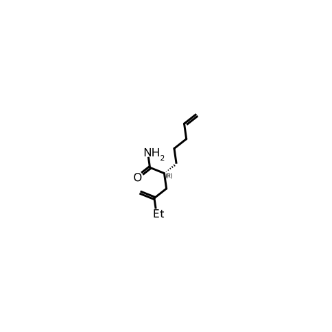 C=CCCC[C@H](CC(=C)CC)C(N)=O